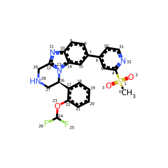 CS(=O)(=O)c1cc(-c2ccc3nc4n(c3c2)[C@@H](c2ccccc2OC(F)F)CNC4)ccn1